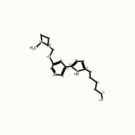 CN1CC[C@H]1COc1cncc(-c2ccc(CCCCCF)[nH]2)c1